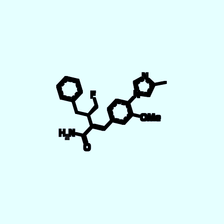 COc1cc(/C=C(/C(N)=O)[C@H](CF)Cc2ccccc2)ccc1-n1cnc(C)c1